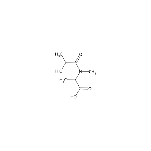 CC(C)C(=O)N(C)C(C)C(=O)O